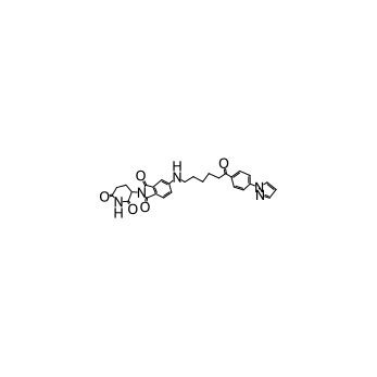 O=C1CCC(N2C(=O)c3ccc(NCCCCCC(=O)c4ccc(-n5cccn5)cc4)cc3C2=O)C(=O)N1